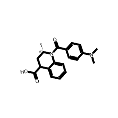 C[C@H]1CC(C(=O)O)c2ccccc2N1C(=O)c1ccc(N(C)C)cc1